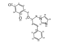 Clc1ccc(COC(/C=C/c2ccccc2)Cn2ccnc2)c(Cl)c1